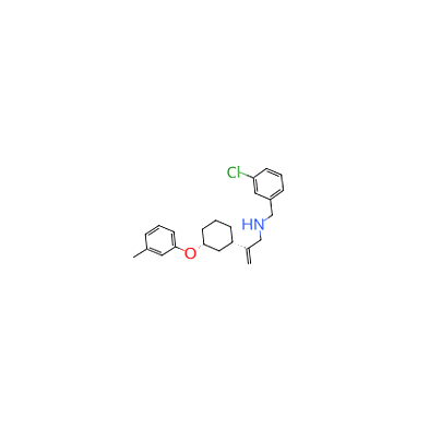 C=C(CNCc1cccc(Cl)c1)[C@H]1CCC[C@@H](Oc2cccc(C)c2)C1